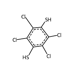 Sc1c(Cl)c(Cl)c(S)c(Cl)c1Cl